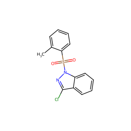 Cc1ccccc1S(=O)(=O)n1nc(Cl)c2ccccc21